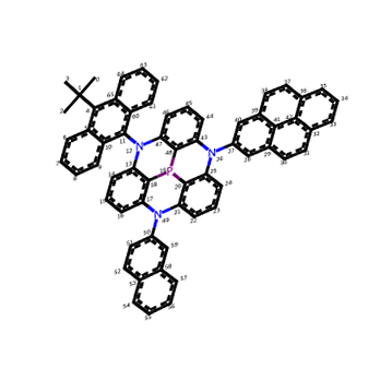 CC(C)(C)c1c2ccccc2c(N2c3cccc4c3P3c5c(cccc5N(c5cc6ccc7cccc8ccc(c5)c6c78)c5cccc2c53)N4c2ccc3ccccc3c2)c2ccccc12